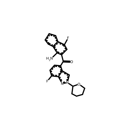 Nc1c(C(=O)c2ccc(F)c3nn(C4CCCCO4)cc23)cc(F)c2ccccc12